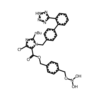 CCCCc1nc(Cl)c(C(=O)OCc2ccc(CON(O)O)cc2)n1Cc1ccc(-c2ccccc2-c2nn[nH]n2)cc1